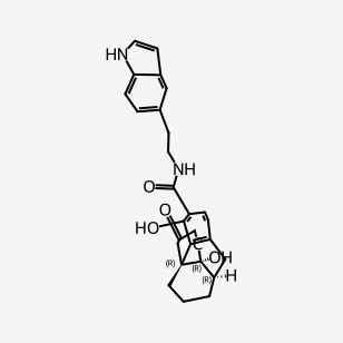 O=C1CC[C@@]2(O)[C@@H]3CCC[C@@]2(C1)c1c(ccc(C(=O)NCCc2ccc4[nH]ccc4c2)c1O)C3